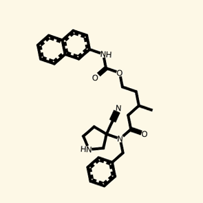 CC(CCOC(=O)Nc1ccc2ccccc2c1)CC(=O)N(Cc1ccccc1)C1(C#N)CCNC1